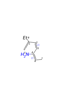 C=C(/C=C\C(N)=C/C)CC